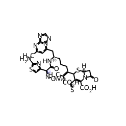 CO/N=C(\C(=O)N[C@H](CCCC(=C(C)C(=O)O)C1S[C@@H]2CC(=O)N2C(C(=O)O)=C1C=S)Cc1cc(C)nc2ncnn12)c1csc(N)n1